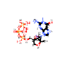 Nc1nc2c(ncn2[C@@H]2O[C@@]3(COP(=O)(O)OP(=O)(O)OP(=O)(O)O)CO[C@@H]2[C@@H]3N)c(=O)[nH]1